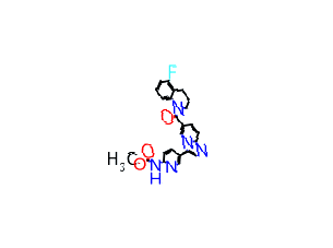 COC(=O)Nc1ccc(-c2cnc3ccc(C(=O)N4CCCc5c(F)cccc54)cn23)cn1